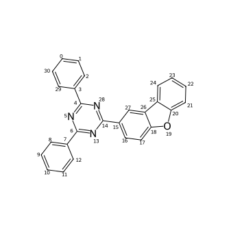 c1ccc(-c2nc(-c3ccccc3)nc(-c3ccc4oc5ccccc5c4c3)n2)cc1